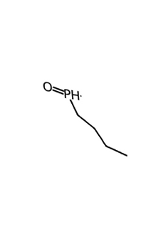 CCCC[PH]=O